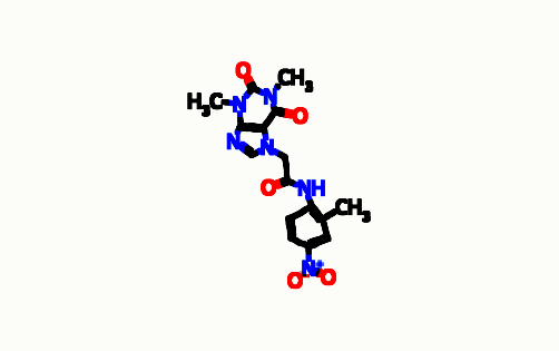 Cc1cc([N+](=O)[O-])ccc1NC(=O)Cn1cnc2c1c(=O)n(C)c(=O)n2C